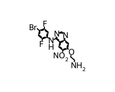 NCCOc1cc2ncnc(Nc3cc(F)c(Br)cc3F)c2cc1[N+](=O)[O-]